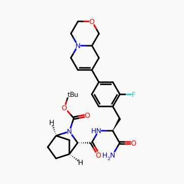 CC(C)(C)OC(=O)N1[C@@H]2CC[C@@H](C2)[C@H]1C(=O)N[C@@H](Cc1ccc(C2=CCN3CCOCC3C2)cc1F)C(N)=O